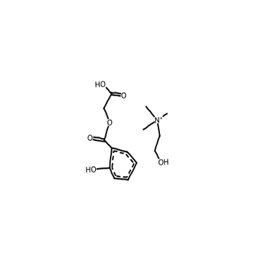 C[N+](C)(C)CCO.O=C(O)COC(=O)c1ccccc1O